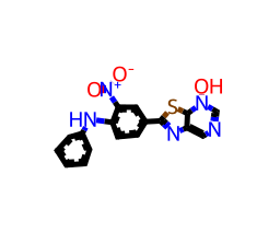 O=[N+]([O-])c1cc(C2=NC3=CN=CN(O)C3S2)ccc1Nc1ccccc1